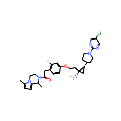 Cc1ccc2n1CCN(C(=O)Cc1ccc(OCCC3(N)C[C@@H]3C3CCN(c4ncc(Cl)cn4)CC3)cc1F)C2C